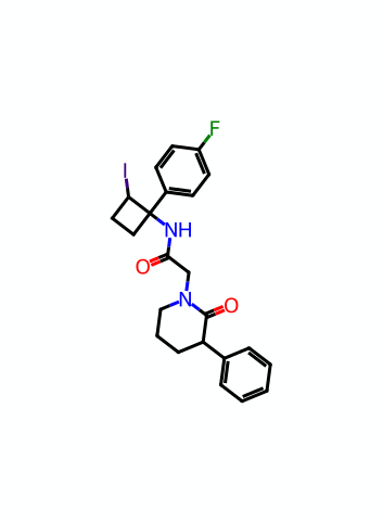 O=C(CN1CCCC(c2ccccc2)C1=O)NC1(c2ccc(F)cc2)CCC1I